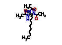 CCCCCCCC[Si](NC(C)=O)(NC(C)=O)NC(C)=O